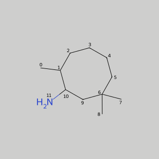 CC1CCCCC(C)(C)CC1N